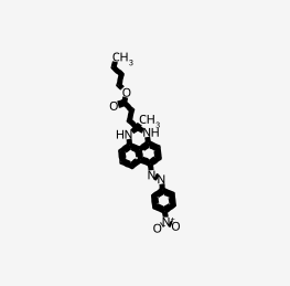 CCCCOC(=O)CCC1(C)Nc2cccc3c(N=Nc4ccc([N+](=O)[O-])cc4)ccc(c23)N1